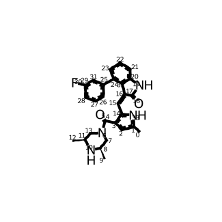 Cc1cc(C(=O)N2C[C@@H](C)N[C@@H](C)C2)c(C=C2C(=O)Nc3cccc(-c4cccc(F)c4)c32)[nH]1